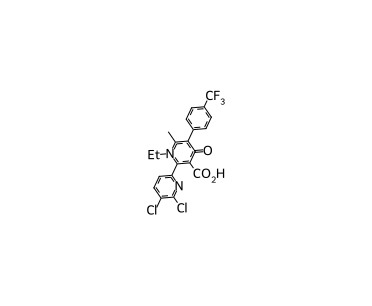 CCn1c(C)c(-c2ccc(C(F)(F)F)cc2)c(=O)c(C(=O)O)c1-c1ccc(Cl)c(Cl)n1